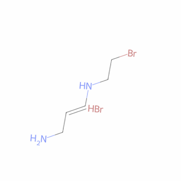 Br.NCC=CNCCBr